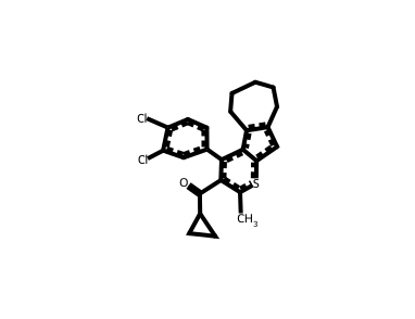 Cc1sc2cc3c(c-2c(-c2ccc(Cl)c(Cl)c2)c1C(=O)C1CC1)CCCCC3